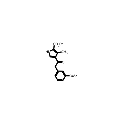 CCOC(=O)c1[nH]cc(C(=O)Cc2cccc(OC)c2)c1C